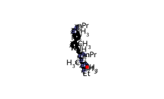 C\C=C/C(=C\C(C)=C\CC)C(/C)=C(F)/C=C(\C=C\CCC)CNc1nccc(-c2ccc(C)c(/C=C\C=C\CCC)n2)c1C